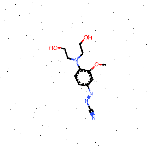 COc1cc(/N=N/C#N)ccc1N(CCO)CCO